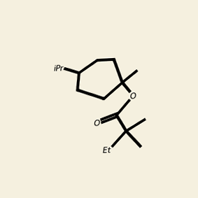 CCC(C)(C)C(=O)OC1(C)CCC(C(C)C)CC1